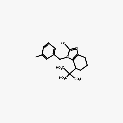 CC(C)c1nc2c(n1Cc1cccc(I)c1)C(C(C(=O)O)(C(=O)O)C(=O)O)CCC2